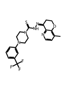 Cc1ccnc2c1OCC/C2=N/NC(=S)N1CCN(c2cccc(C(F)(F)F)c2)CC1